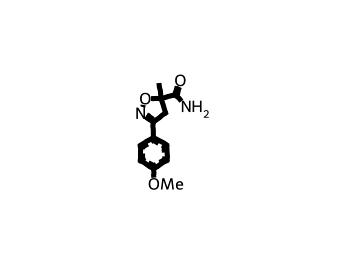 COc1ccc(C2=NOC(C)(C(N)=O)C2)cc1